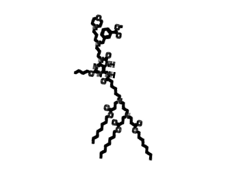 CCCCCCCCOC(=O)CCN(CCCCCC(=O)Nc1nc(OCCCC)nc2c1[nH]c(=O)n2CCCN(CCCN1CCOCC1)Cc1cccc(C(=O)OC)c1)CCCN(CCC(=O)OCCCCCCCC)CCC(=O)OCCCCCCCC